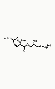 CCCCCCC(C)/C=C\C(CCCCCC)C(=O)OC[C@@H](O)COPO